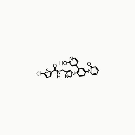 O=C(NCc1cn(-c2ccc(-n3ccccc3=O)cc2-c2ccnc(O)c2)cn1)c1ccc(Cl)s1